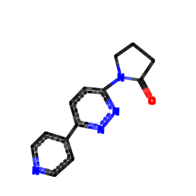 O=C1CCCN1c1ccc(-c2ccncc2)nn1